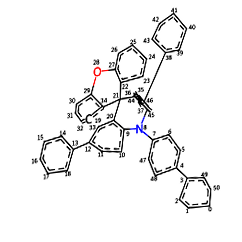 c1ccc(-c2ccc(N3c4ccc(-c5ccccc5)cc4C4(c5ccccc5Oc5ccccc54)c4cc(-c5ccccc5)ccc43)cc2)cc1